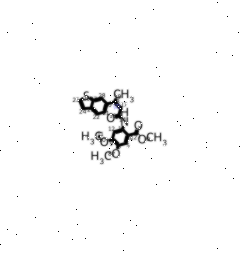 COC(=O)c1cc(OC)c(OC)cc1NC(=O)/C=C(/C)c1ccc2ccsc2c1